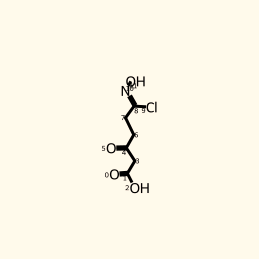 O=C(O)CC(=O)CCC(Cl)=NO